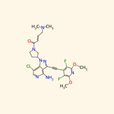 COc1nc(OC)c(F)c(C#Cc2nn(C3CCN(C(=O)C=CCN(C)C)C3)c3c(Cl)cnc(N)c23)c1F